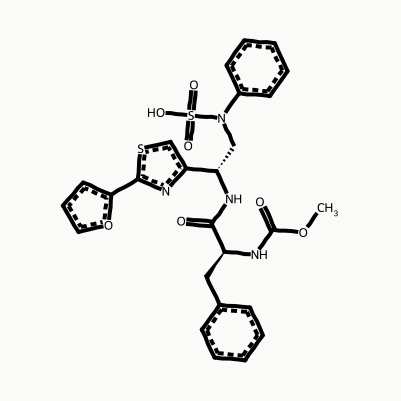 COC(=O)N[C@@H](Cc1ccccc1)C(=O)N[C@@H](CN(c1ccccc1)S(=O)(=O)O)c1csc(-c2ccco2)n1